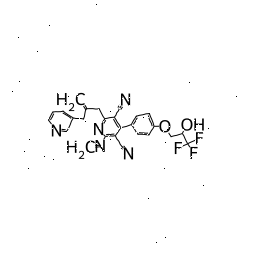 C=Nc1nc(CC(=C)Cc2cccnc2)c(C#N)c(-c2ccc(OCC(O)C(F)(F)F)cc2)c1C#N